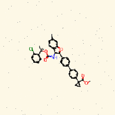 COC(=O)C1(c2ccc(-c3ccc(-c4oc5cc(C)ccc5c4NC(=O)O[C@H](C)c4ccccc4Cl)cc3)cc2)CC1